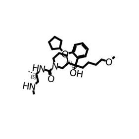 CNC[C@H](C)NC(=O)N1CCC[C@@H]([C@@](O)(CCCCOC)c2ccccc2OC2CCCC2)C1